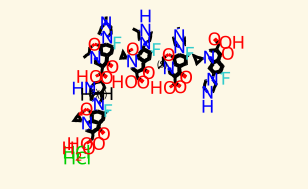 CC1COc2c(N3CCN(C)CC3)c(F)cc3c(=O)c(C(=O)O)cn1c23.COc1c(N2CCNC(C)C2)c(F)cc2c(=O)c(C(=O)O)cn(C3CC3)c12.COc1c(N2C[C@@H]3CCCN[C@@H]3C2)c(F)cc2c(=O)c(C(=O)O)cn(C3CC3)c12.C[C@H]1COc2c(N3CCN(C)CC3)c(F)cc3c(=O)c(C(=O)O)cn1c23.Cl.Cl.O.O=C(O)c1cn(C2CC2)c2cc(N3CCNCC3)c(F)cc2c1=O